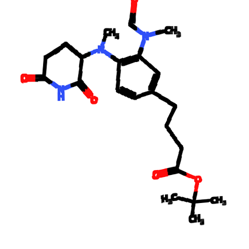 CN(C=O)c1cc(CCCC(=O)OC(C)(C)C)ccc1N(C)C1CCC(=O)NC1=O